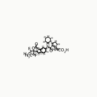 CC(F)C1(C(C)F)OC(=O)n2c1cc1ccc(NC(=O)[C@@H]3[C@H](C4CCCCC4)CCN3NC(=O)O)cc12